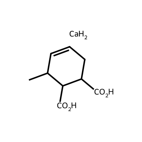 CC1C=CCC(C(=O)O)C1C(=O)O.[CaH2]